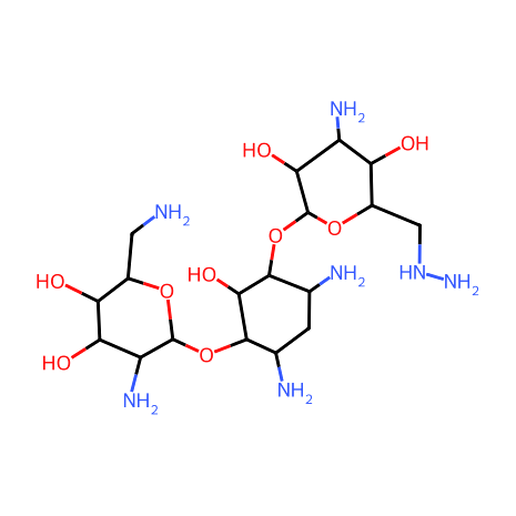 NCC1OC(OC2C(N)CC(N)C(OC3OC(CNN)C(O)C(N)C3O)C2O)C(N)C(O)C1O